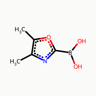 Cc1nc(B(O)O)oc1C